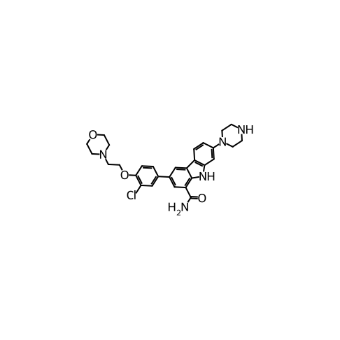 NC(=O)c1cc(-c2ccc(OCCN3CCOCC3)c(Cl)c2)cc2c1[nH]c1cc(N3CCNCC3)ccc12